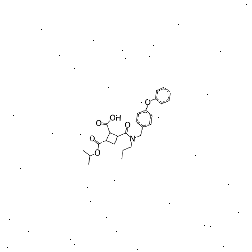 CCCN(Cc1ccc(Oc2ccccc2)cc1)C(=O)C1CC(C(=O)OC(C)C)C1C(=O)O